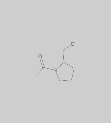 CC(=O)N1CCCC1C[O]